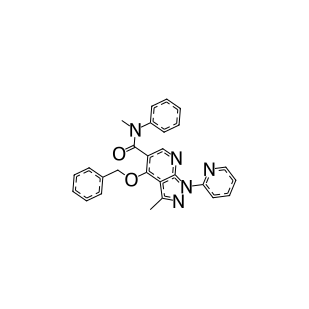 Cc1nn(-c2ccccn2)c2ncc(C(=O)N(C)c3ccccc3)c(OCc3ccccc3)c12